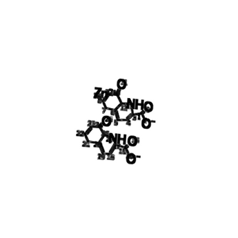 O=C([O-])C1=CC=C2CC=CC(=O)C2N1.O=C([O-])C1=CC=C2CC=CC(=O)C2N1.[Zn+2]